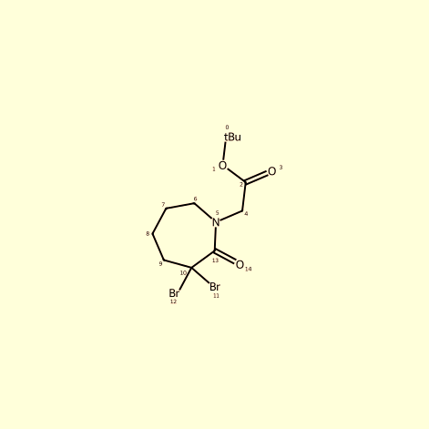 CC(C)(C)OC(=O)CN1CCCCC(Br)(Br)C1=O